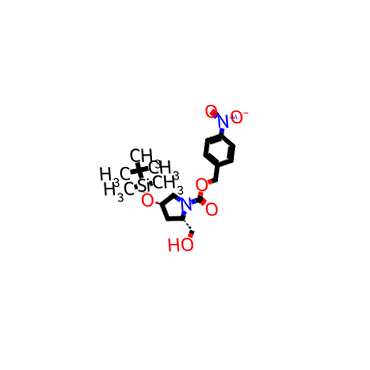 CC(C)(C)[Si](C)(C)O[C@H]1C[C@@H](CO)N(C(=O)OCc2ccc([N+](=O)[O-])cc2)C1